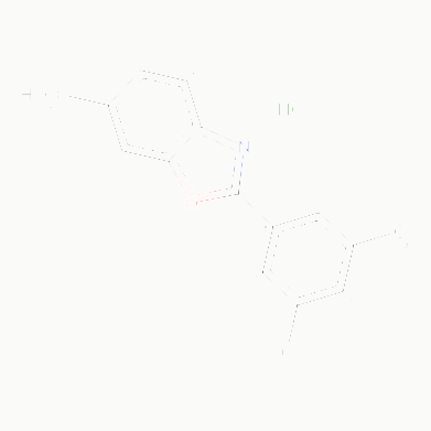 Cl.O=C(O)c1ccc2nc(-c3cc(Cl)cc(Cl)c3)oc2c1